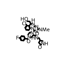 CNc1nc(NC(CCO)c2ccccc2Cl)nc(N2CCN(C(=O)c3ccc(F)cc3)CC2C(=O)NCC2CNC(=O)C2)n1